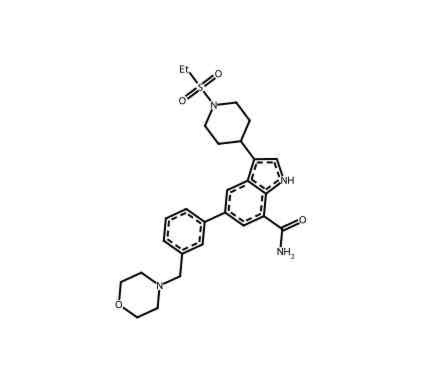 CCS(=O)(=O)N1CCC(c2c[nH]c3c(C(N)=O)cc(-c4cccc(CN5CCOCC5)c4)cc23)CC1